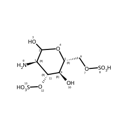 N[C@H]1C(O)O[C@H](COS(=O)(=O)O)[C@@H](O)[C@@H]1OS(=O)(=O)O